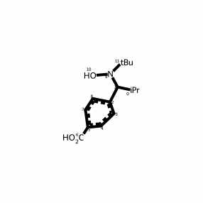 CC(C)C(c1ccc(C(=O)O)cc1)N(O)C(C)(C)C